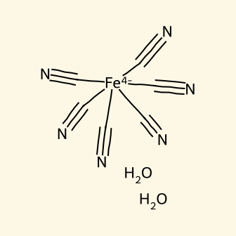 N#[C][Fe-4]([C]#N)([C]#N)([C]#N)([C]#N)[C]#N.O.O